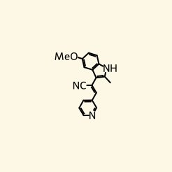 COc1ccc2[nH]c(C)c(C(C#N)=Cc3cccnc3)c2c1